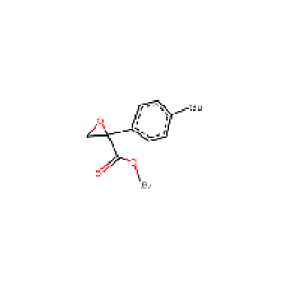 CC(C)(C)OC(=O)C1(c2ccc(C(C)(C)C)cc2)CO1